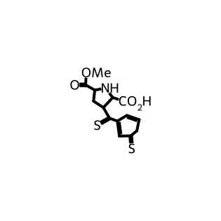 COC(=O)C1CC(C(=S)C2=CC(=S)CC=C2)C(C(=O)O)N1